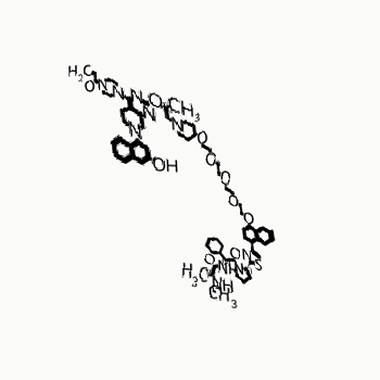 C=CC(=O)N1CCN(c2nc(O[C@H](C)CN3CCC(OCCOCCOCCOCCOc4ccc(-c5csc([C@@H]6CCCN6C(=O)[C@@H](NC(=O)[C@H](C)NC)C6CCCCC6)n5)c5ccccc45)CC3)nc3c2CCN(c2cc(O)cc4ccccc24)C3)CC1